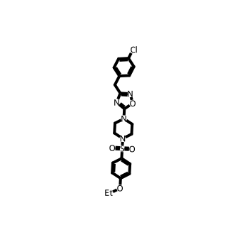 CCOc1ccc(S(=O)(=O)N2CCN(c3nc(Cc4ccc(Cl)cc4)no3)CC2)cc1